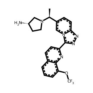 C[C@@H](c1ccc2nnc(-c3ccc4cccc(OC(F)(F)F)c4n3)n2c1)N1CC[C@H](N)C1